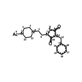 CC(=O)N1CCN(CCn2sc(=O)n(Cc3ccccc3)c2=O)CC1